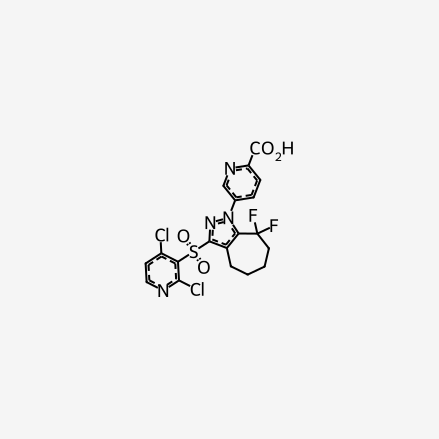 O=C(O)c1ccc(-n2nc(S(=O)(=O)c3c(Cl)ccnc3Cl)c3c2C(F)(F)CCCC3)cn1